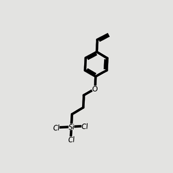 C=Cc1ccc(OCCC[Si](Cl)(Cl)Cl)cc1